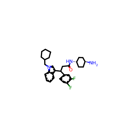 N[C@H]1CC[C@H](NC(=O)CC(c2ccc(F)c(F)c2)c2cn(CC3CCCCC3)c3ccccc23)CC1